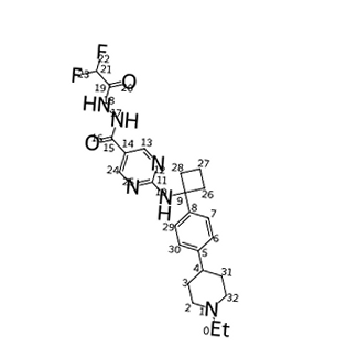 CCN1CCC(c2ccc(C3(Nc4ncc(C(=O)NNC(=O)C(F)F)cn4)CCC3)cc2)CC1